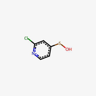 OSc1ccnc(Cl)c1